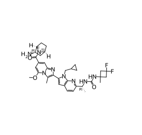 COc1cc(C(=O)N2[C@H]3CC[C@@H]2[C@H](N)C3)cc2nc(-c3cc4ccc([C@@H](C)NC(=O)NC5(C)CC(F)(F)C5)nc4n3CC3CC3)c(C)n12